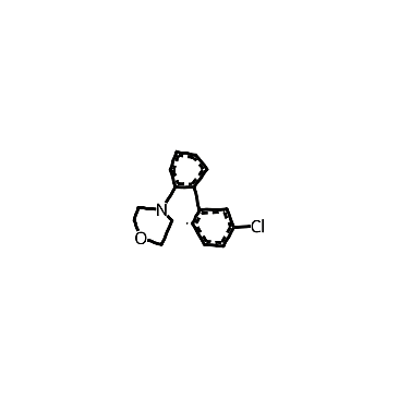 Clc1cc[c]c(-c2ccccc2N2CCOCC2)c1